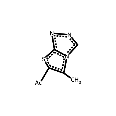 CC(=O)c1sc2nncn2c1C